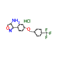 Cl.Nc1conc1-c1ccc(OCc2ccc(C(F)(F)F)cc2)cc1